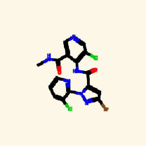 CNC(=O)c1cncc(Cl)c1NC(=O)c1cc(Br)nn1-c1ncccc1Cl